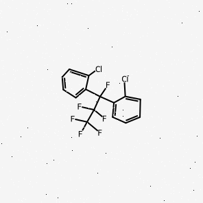 FC(F)(F)C(F)(F)C(F)(c1ccccc1Cl)c1ccccc1Cl